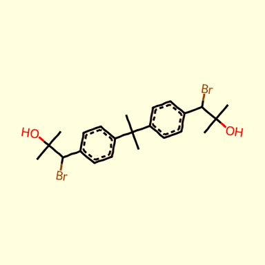 CC(C)(c1ccc(C(Br)C(C)(C)O)cc1)c1ccc(C(Br)C(C)(C)O)cc1